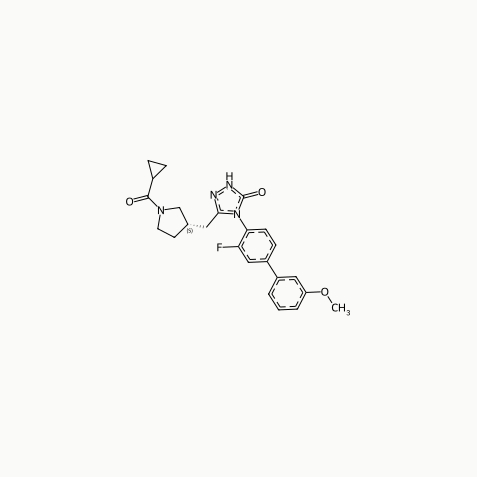 COc1cccc(-c2ccc(-n3c(C[C@@H]4CCN(C(=O)C5CC5)C4)n[nH]c3=O)c(F)c2)c1